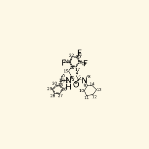 C[C@@H](N[C@@H](CC(=O)N(C)C1CCCCC1)Cc1cc(F)c(F)cc1F)c1ccccc1